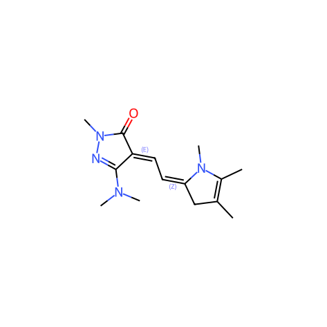 CC1=C(C)N(C)/C(=C\C=C2\C(=O)N(C)N=C2N(C)C)C1